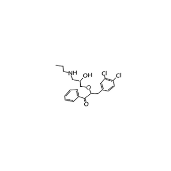 CCCNCC(O)COC(Cc1ccc(Cl)c(Cl)c1)C(=O)c1ccccc1